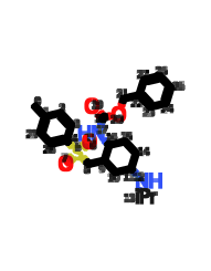 Cc1ccc(S(=O)(=O)CC2CC(NC(C)C)CCC2NC(=O)OCc2ccccc2)cc1